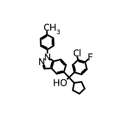 Cc1ccc(-n2ncc3cc(C(O)(c4ccc(F)c(Cl)c4)C4CCCC4)ccc32)cc1